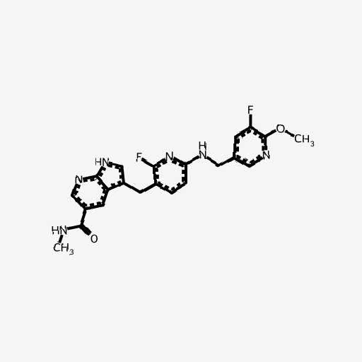 CNC(=O)c1cnc2[nH]cc(Cc3ccc(NCc4cnc(OC)c(F)c4)nc3F)c2c1